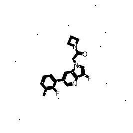 Cc1cccc(-c2cnc3c(F)cn(CC(=O)N4CCC4)c3c2)c1F